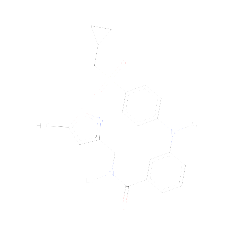 CCN(Cc1cc(C)on1)C(=O)c1cccc(N(C(C)=O)c2ccc(S(=O)(=O)CC3CC3)cc2)c1